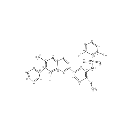 COc1ncc(-c2ccc3nc(N)c(-c4ccccc4)c(F)c3c2)cc1NS(=O)(=O)c1c(F)cccc1F